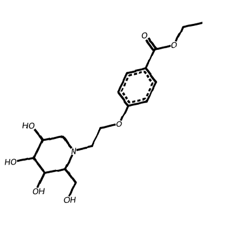 CCOC(=O)c1ccc(OCCN2CC(O)C(O)C(O)C2CO)cc1